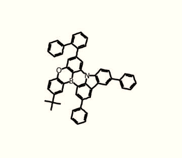 CC(C)(C)c1ccc2c(c1)B1c3c(cc(-c4ccccc4-c4ccccc4)cc3-n3c4ccc(-c5ccccc5)cc4c4cc(-c5ccccc5)cc1c43)O2